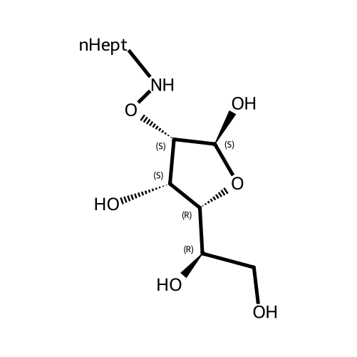 CCCCCCCNO[C@H]1[C@@H](O)[C@@H]([C@H](O)CO)O[C@@H]1O